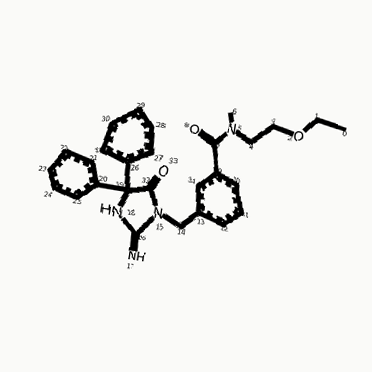 CCOCCN(C)C(=O)c1cccc(CN2C(=N)NC(c3ccccc3)(c3ccccc3)C2=O)c1